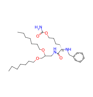 CCCCCCCOCC(CNC(=O)[C@H](CCCCOC(N)=O)NCc1ccccc1)OCCCCCCC